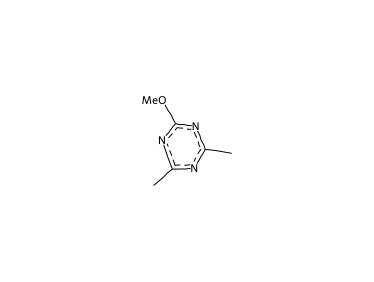 COc1nc(C)nc(C)n1